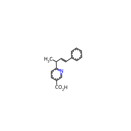 CC(/C=C/c1ccccc1)c1ccc(C(=O)O)cn1